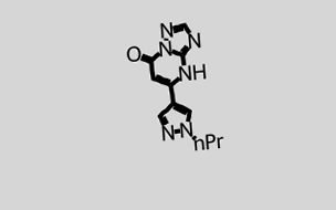 CCCn1cc(-c2cc(=O)n3ncnc3[nH]2)cn1